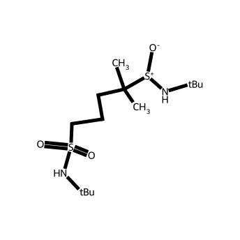 CC(C)(C)N[S+]([O-])C(C)(C)CCCS(=O)(=O)NC(C)(C)C